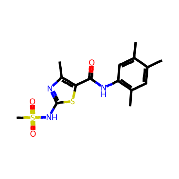 Cc1cc(C)c(NC(=O)c2sc(NS(C)(=O)=O)nc2C)cc1C